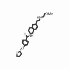 COCCNCCc1ccc2c(c1)CC[C@H](NC(=O)c1ccc(OC[C@@H]3CCCO3)cc1)C2